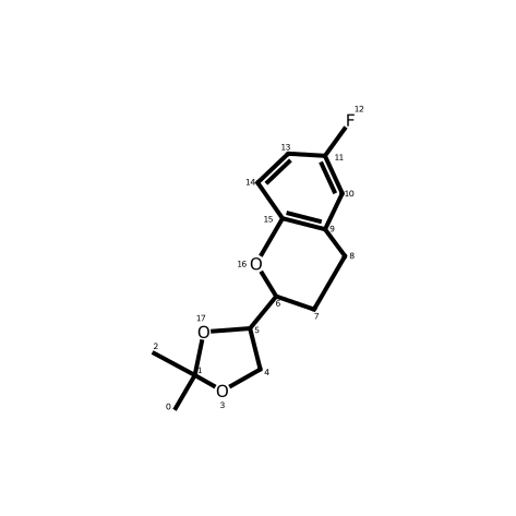 CC1(C)OCC(C2CCc3cc(F)ccc3O2)O1